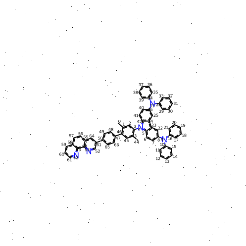 Cc1cc(-n2c3ccc(N(c4ccccc4)c4ccccc4)cc3c3cc(N(c4ccccc4)c4ccccc4)ccc32)c(C)cc1-c1ccc(-c2cnc3c(ccc4cccnc43)c2)cc1